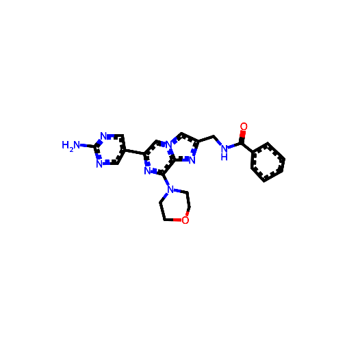 Nc1ncc(-c2cn3cc(CNC(=O)c4ccccc4)nc3c(N3CCOCC3)n2)cn1